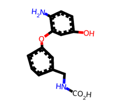 Nc1ccc(O)cc1Oc1cccc(CNC(=O)O)c1